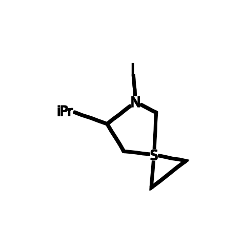 CC(C)C1CS2(CC2)CN1I